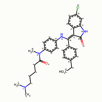 CN(C)CCCCC(=O)N(C)c1ccc(NC(=C2C(=O)Nc3cc(Cl)ccc32)c2ccc(CC(=O)O)cc2)cc1